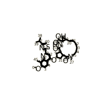 COc1ccc2c(OC3CC4C(=O)NC5(C(=O)O)CC5/C=C/CCCCN(C)C(=O)C4C3)cc(-c3nc(C(C)C)cs3)nc2c1C